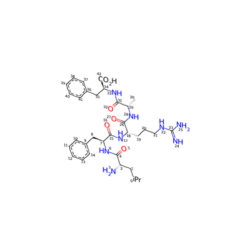 CC(C)C[C@H](N)C(=O)N[C@@H](Cc1ccccc1)C(=O)N[C@@H](CCCNC(=N)N)C(=O)N[C@@H](C)C(=O)N[C@@H](Cc1ccccc1)C(=O)O